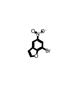 O=[N+]([O-])c1cc(Br)c2occc2c1